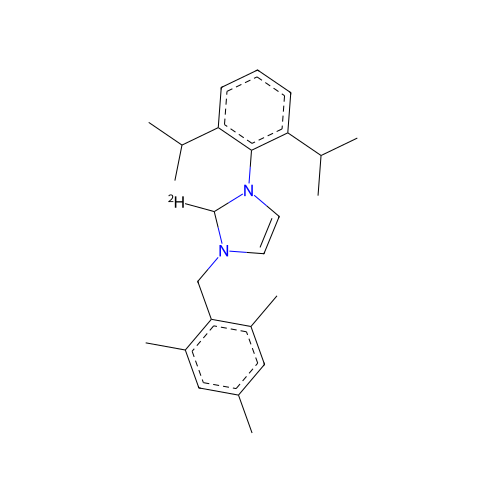 [2H]C1N(Cc2c(C)cc(C)cc2C)C=CN1c1c(C(C)C)cccc1C(C)C